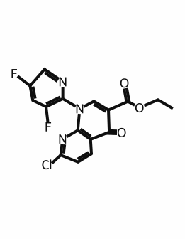 CCOC(=O)c1cn(-c2ncc(F)cc2F)c2nc(Cl)ccc2c1=O